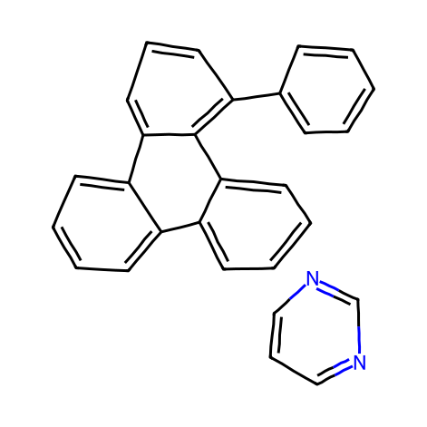 c1ccc(-c2cccc3c4ccccc4c4ccccc4c23)cc1.c1cncnc1